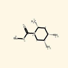 C[C@@H]1C[C@H](N)[C@H](N)CN1C(=O)OC(C)(C)C